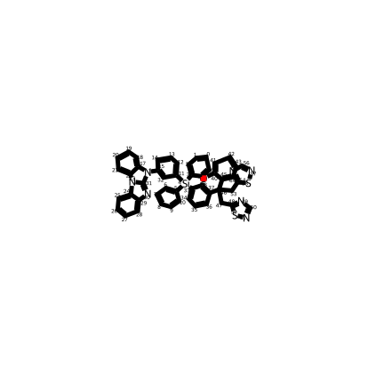 c1ccc([Si](c2ccccc2)(c2cccc(-n3c4ccccc4n4c5ccccc5nc34)c2)c2cccc3c2Oc2ccccc2C3(Cc2ncns2)Cc2ncns2)cc1